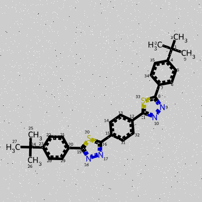 CC(C)(C)c1ccc(-c2nnc(-c3ccc(-c4nnc(-c5ccc(C(C)(C)C)cc5)s4)cc3)s2)cc1